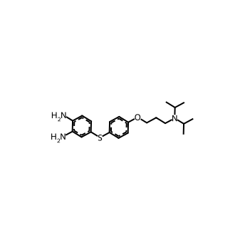 CC(C)N(CCCOc1ccc(Sc2ccc(N)c(N)c2)cc1)C(C)C